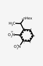 CCCCCCC(C)c1cc[c]c([N+](=O)[O-])c1[N+](=O)[O-]